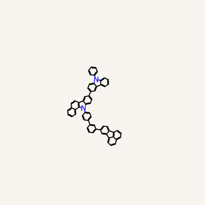 c1ccc(-n2c3ccccc3c3cc(-c4ccc5c(c4)c4ccc6ccccc6c4n5-c4ccc(-c5cccc(-c6ccc7c(c6)-c6cccc8cccc-7c68)c5)cc4)ccc32)cc1